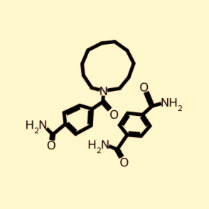 NC(=O)c1ccc(C(=O)N2CCCCCCCCCC2)cc1.NC(=O)c1ccc(C(N)=O)cc1